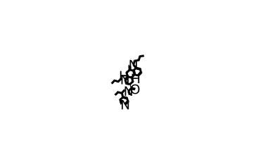 CCCCN1C[C@H](C(=O)N(C)CC(CC)c2ccncc2)C[C@@H]2c3cccc4c3c(cn4CCCC)C[C@H]21